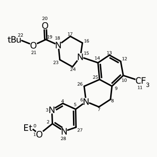 CCOc1ncc(N2CCc3c(C(F)(F)F)ccc(N4CCN(C(=O)OC(C)(C)C)CC4)c3C2)cn1